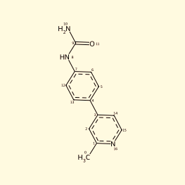 Cc1cc(-c2ccc(NC(N)=O)cc2)ccn1